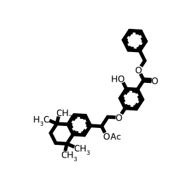 CC(=O)OC(COc1ccc(C(=O)OCc2ccccc2)c(O)c1)c1ccc2c(c1)C(C)(C)CCC2(C)C